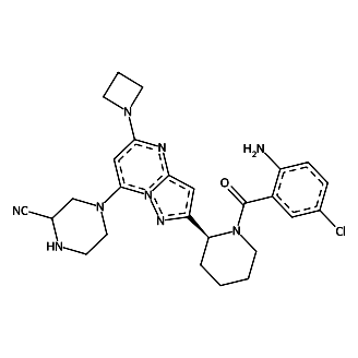 N#CC1CN(c2cc(N3CCC3)nc3cc([C@@H]4CCCCN4C(=O)c4cc(Cl)ccc4N)nn23)CCN1